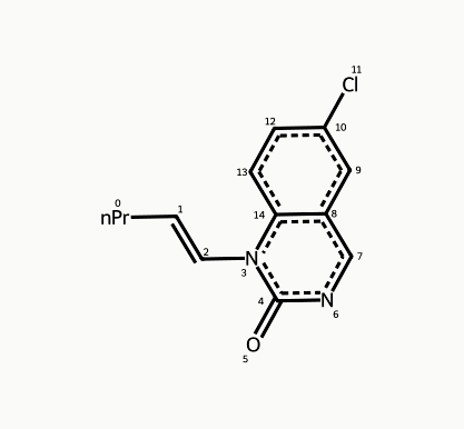 CCCC=Cn1c(=O)ncc2cc(Cl)ccc21